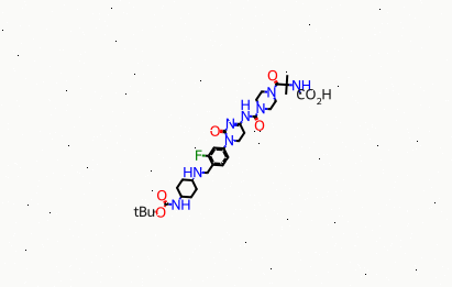 CC(C)(C)OC(=O)N[C@H]1CC[C@H](NCc2ccc(N3CCC(NC(=O)N4CCN(C(=O)C(C)(C)NC(=O)O)CC4)=NC3=O)cc2F)CC1